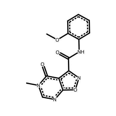 COc1ccccc1NC(=O)c1noc2ncn(C)c(=O)c12